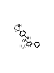 Cn1nc(-c2ccccc2)cc1C(=O)Nc1ccc([C@H]2CNCCO2)cc1